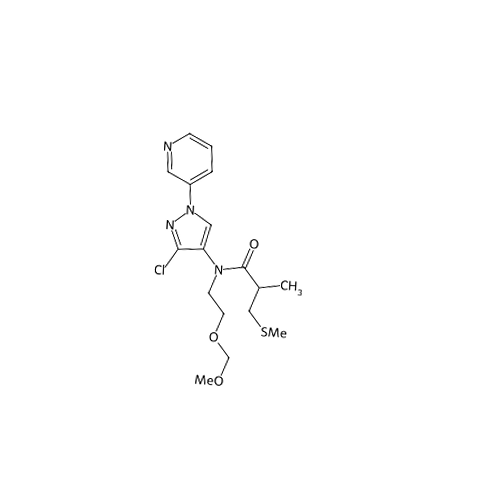 COCOCCN(C(=O)C(C)CSC)c1cn(-c2cccnc2)nc1Cl